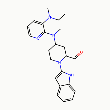 CCN(C)c1cccnc1N(C)C1CCN(c2cc3ccccc3[nH]2)C(C=O)C1